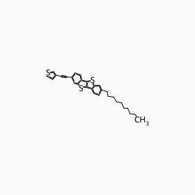 CCCCCCCCCCc1ccc2c(c1)sc1c3ccc(C#Cc4ccsc4)cc3sc21